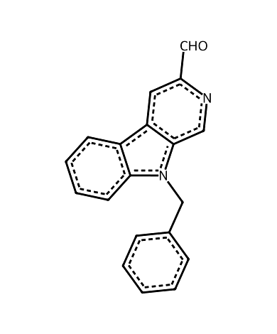 O=Cc1cc2c3ccccc3n(Cc3ccccc3)c2cn1